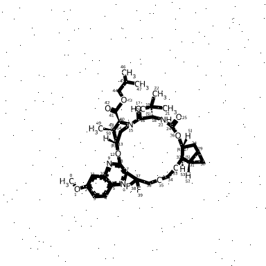 COc1ccc2nc3c(nc2c1)O[C@H]1CN(C(=O)[C@H](C(C)(C)C)NC(=O)O[C@@H]2CC4C[C@@H]4[C@H]2CCCCC3(F)F)[C@H](C(=O)OCC(C)C)[C@@H]1C